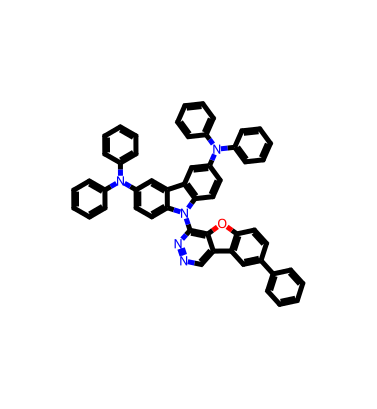 c1ccc(-c2ccc3oc4c(-n5c6ccc(N(c7ccccc7)c7ccccc7)cc6c6cc(N(c7ccccc7)c7ccccc7)ccc65)nncc4c3c2)cc1